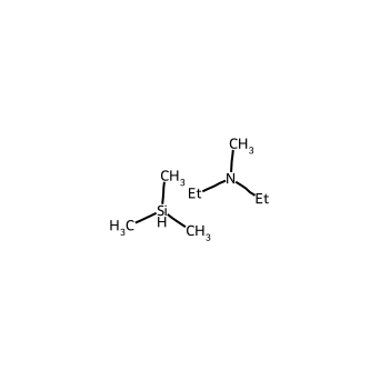 CCN(C)CC.C[SiH](C)C